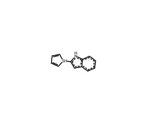 C1=C[SH](c2cc3ccccc3[nH]2)C=C1